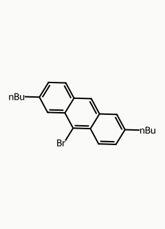 CCCCc1ccc2c(Br)c3cc(CCCC)ccc3cc2c1